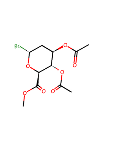 COC(=O)[C@H]1O[C@H](Br)C[C@@H](OC(C)=O)[C@@H]1OC(C)=O